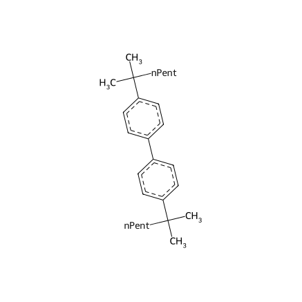 CCCCCC(C)(C)c1ccc(-c2ccc(C(C)(C)CCCCC)cc2)cc1